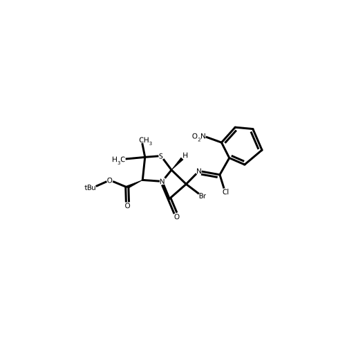 CC(C)(C)OC(=O)[C@@H]1N2C(=O)C(Br)(/N=C(\Cl)c3ccccc3[N+](=O)[O-])[C@H]2SC1(C)C